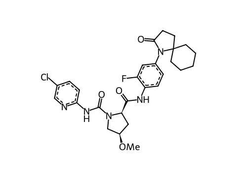 CO[C@@H]1C[C@H](C(=O)Nc2ccc(N3C(=O)CCC34CCCCC4)cc2F)N(C(=O)Nc2ccc(Cl)cn2)C1